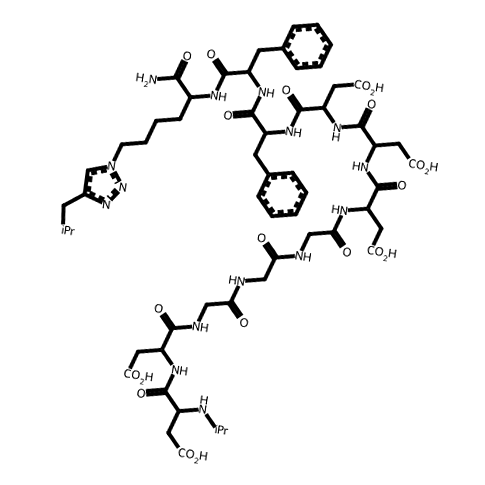 CC(C)Cc1cn(CCCCC(NC(=O)C(Cc2ccccc2)NC(=O)C(Cc2ccccc2)NC(=O)C(CC(=O)O)NC(=O)C(CC(=O)O)NC(=O)C(CC(=O)O)NC(=O)CNC(=O)CNC(=O)CNC(=O)C(CC(=O)O)NC(=O)C(CC(=O)O)NC(C)C)C(N)=O)nn1